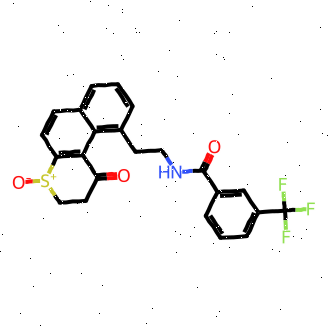 O=C(NCCc1cccc2ccc3c(c12)C(=O)CC[S+]3[O-])c1cccc(C(F)(F)F)c1